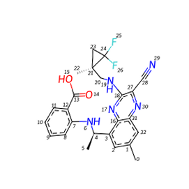 Cc1cc([C@@H](C)Nc2ccccc2C(=O)O)c2nc(NC[C@@]3(C)CC3(F)F)c(C#N)nc2c1